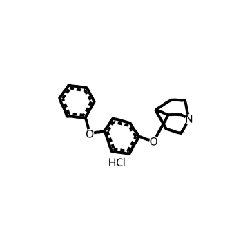 Cl.c1ccc(Oc2ccc(OC3CN4CCC3CC4)cc2)cc1